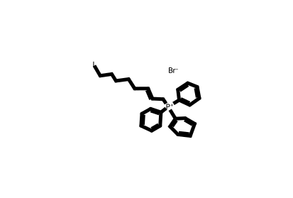 ICCCCCC=CC[P+](c1ccccc1)(c1ccccc1)c1ccccc1.[Br-]